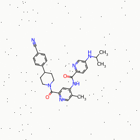 Cc1cnc(C(=O)N2CCC(c3ccc(C#N)cc3)CC2)cc1NC(=O)c1ccc(NC(C)C)cn1